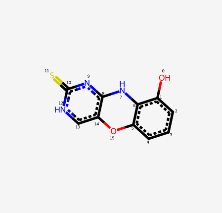 Oc1cccc2c1Nc1nc(=S)[nH]cc1O2